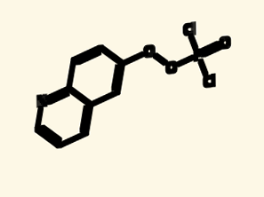 O=P(Cl)(Cl)OOc1ccc2ncccc2c1